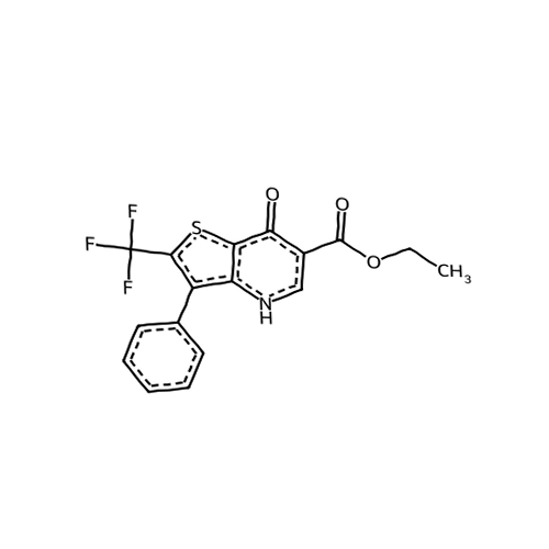 CCOC(=O)c1c[nH]c2c(-c3ccccc3)c(C(F)(F)F)sc2c1=O